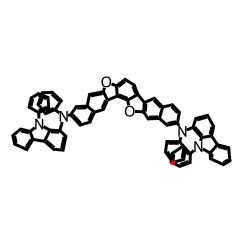 c1ccc(N(c2ccc3cc4c(cc3c2)oc2c4ccc3oc4cc5cc(N(c6ccccc6)c6cccc7c8ccccc8n(-c8ccccc8)c67)ccc5cc4c32)c2cccc3c4ccccc4n(-c4ccccc4)c23)cc1